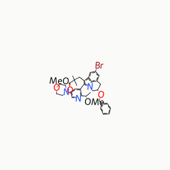 COC(=O)C(C)(C)Cc1c(-c2cc(N3CCOCC3)cnc2[C@H](C)OC)n2c3c(cc(Br)cc13)CC(OCc1ccccc1)C2